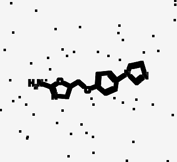 NC1=NCC(COc2ccc(-n3ccnc3)cc2)O1